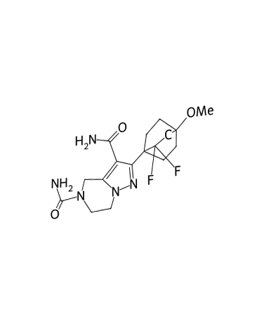 COC12CCC(c3nn4c(c3C(N)=O)CN(C(N)=O)CC4)(CC1)C(F)(F)C2